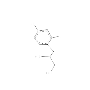 NC(CO)Cc1ccc(Cl)cc1Cl